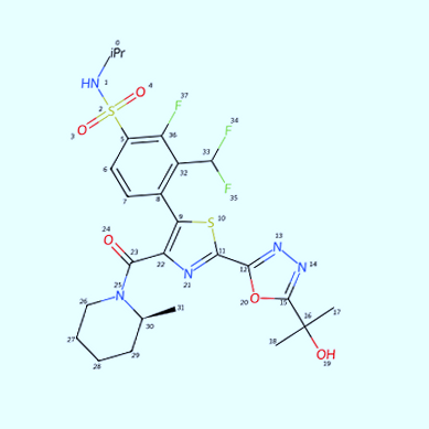 CC(C)NS(=O)(=O)c1ccc(-c2sc(-c3nnc(C(C)(C)O)o3)nc2C(=O)N2CCCC[C@@H]2C)c(C(F)F)c1F